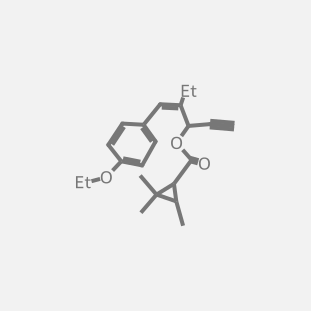 C#CC(OC(=O)C1C(C)C1(C)C)C(=Cc1ccc(OCC)cc1)CC